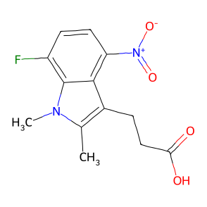 Cc1c(CCC(=O)O)c2c([N+](=O)[O-])ccc(F)c2n1C